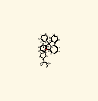 CNC(=O)C1CCN(C(=O)C2=CC=CC=CN2C(c2ccccc2)(c2ccccc2)c2ccccc2)C1